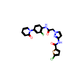 O=C(Cn1ccc(NC(=O)c2ccc(Cl)s2)n1)Nc1ccc(-n2ccccc2=O)cc1F